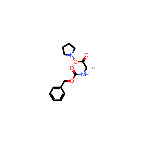 C[C@H](NC(=O)OCc1ccccc1)C(=O)ON1CCCC1